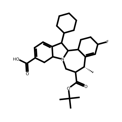 C[C@H]1C2=CC(F)CCC2C2C(C3CCCCC3)C3=CC=C(C(=O)O)CC3N2CC1C(=O)OC(C)(C)C